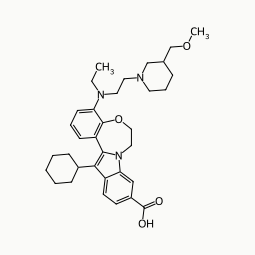 CCN(CCN1CCCC(COC)C1)c1cccc2c1OCCn1c-2c(C2CCCCC2)c2ccc(C(=O)O)cc21